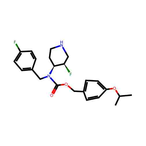 CC(C)Oc1ccc(COC(=O)N(Cc2ccc(F)cc2)[C@H]2CCNC[C@H]2F)cc1